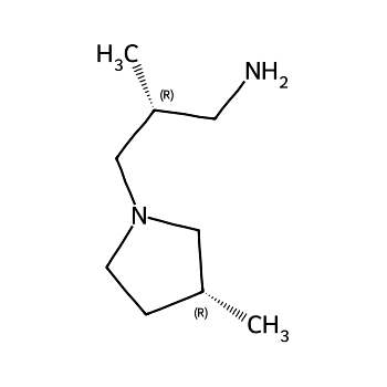 C[C@H](CN)CN1CC[C@@H](C)C1